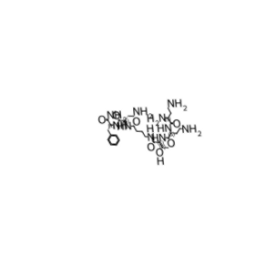 C[C@@H](O)[C@H](NC(=O)[C@H](CCN)NC(=O)[C@@H](N)CCN)C(=O)NCCCC(=O)N[C@@H](CCN)C(=O)N[C@H](Cc1ccccc1)C(N)=O